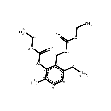 CCOC(=O)OCc1c(CCl)cnc(C)c1OC(=O)OCC.Cl